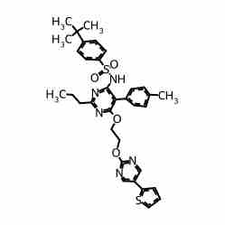 CCCc1nc(NS(=O)(=O)c2ccc(C(C)(C)C)cc2)c(-c2ccc(C)cc2)c(OCCOc2ncc(-c3cccs3)cn2)n1